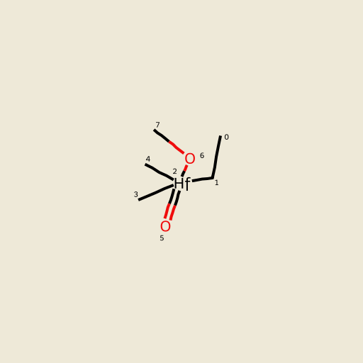 C[CH2][Hf]([CH3])([CH3])(=[O])[O]C